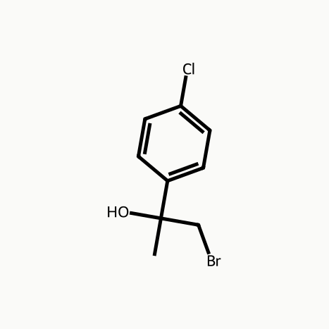 CC(O)(CBr)c1ccc(Cl)cc1